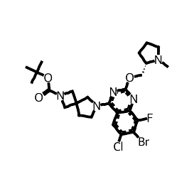 CN1CCC[C@H]1COc1nc(N2CCC3(CN(C(=O)OC(C)(C)C)C3)C2)c2cc(Cl)c(Br)c(F)c2n1